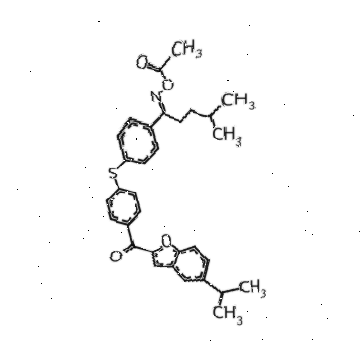 CC(=O)ON=C(CCC(C)C)c1ccc(Sc2ccc(C(=O)c3cc4cc(C(C)C)ccc4o3)cc2)cc1